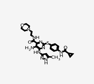 Cc1cc(Nc2nc(Sc3ccc(NC(=O)C4CC4)cc3)nc(C(=O)NCCN3CCOCC3)c2N)n[nH]1